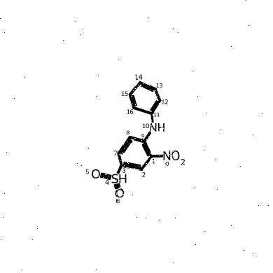 O=[N+]([O-])c1cc([SH](=O)=O)ccc1Nc1ccccc1